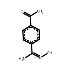 CC(=O)c1ccc(/C(N)=N\O)cc1